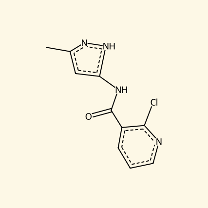 Cc1cc(NC(=O)c2cccnc2Cl)[nH]n1